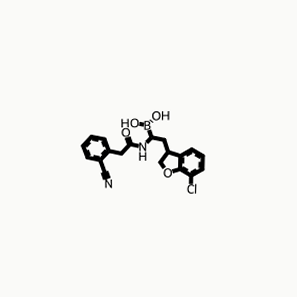 N#Cc1ccccc1CC(=O)NC(CC1COc2c(Cl)cccc21)B(O)O